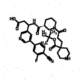 CC(C)(C)OC(=O)C1(CCC(=O)N2CCC[C@@H](C(=O)NC(CC(=O)O)c3cncc(-c4ccc(C#N)c(F)c4)c3)C2)CCNCC1